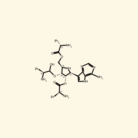 CC(C)[C@H](N)C(O)O[C@H]1[C@@H](OC(=O)[C@@H](N)C(C)C)[C@H](c2c[nH]c3c(N)ncnc23)N[C@@H]1COC(=O)[C@@H](N)C(C)C